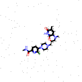 CNC(=O)c1ccc(N2CCN(C[C@@H]3CN(C)c4cc(C)c(=O)[nH]c4O3)CC2)c(F)n1